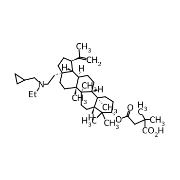 C=C(C)[C@@H]1CC[C@]2(CCN(CC)CC3CC3)CC[C@]3(C)[C@H](CC[C@@H]4[C@@]5(C)CC[C@H](OC(=O)CC(C)(C)C(=O)O)C(C)(C)[C@@H]5CC[C@]43C)[C@@H]12